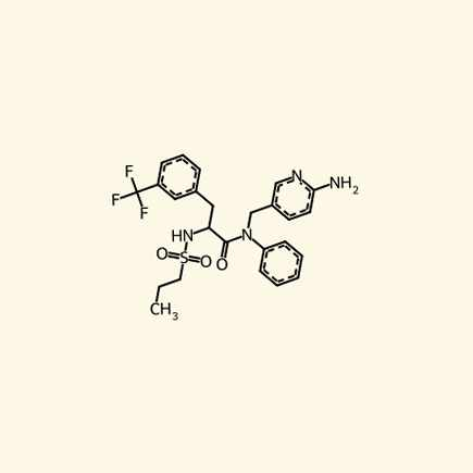 CCCS(=O)(=O)NC(Cc1cccc(C(F)(F)F)c1)C(=O)N(Cc1ccc(N)nc1)c1ccccc1